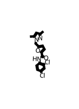 Cc1cc(C)n(Cc2ccc(C(=O)Nc3ccc(Cl)cc3Cl)o2)n1